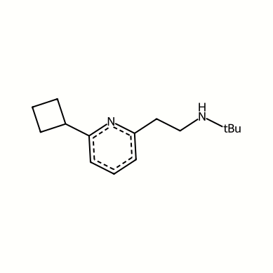 CC(C)(C)NCCc1cccc(C2CCC2)n1